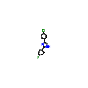 Fc1ccc(-c2nc(-c3ccc(Cl)cc3)c[nH]2)cc1